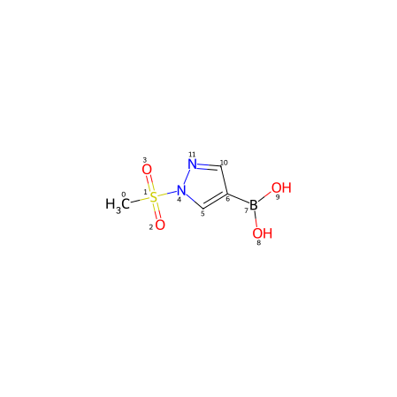 CS(=O)(=O)n1cc(B(O)O)cn1